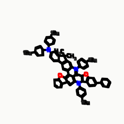 CC(C)(C)c1ccc(N2B3c4oc5cc(-c6ccccc6)ccc5c4N(c4ccc(C(C)(C)C)cc4)c4cc5c(oc6ccccc65)c(c43)-c3cc4c(cc32)C(C)(C)c2cc(N(c3ccc(C(C)(C)C)cc3)c3ccc(C(C)(C)C)cc3)ccc2-4)cc1